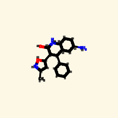 Cc1cc(-c2c(-c3ccccc3)c3cc(N)ccc3[nH]c2=O)on1